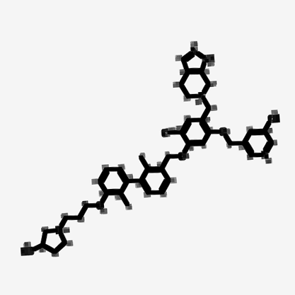 Cc1c(COc2cc(OCc3cncc(C#N)c3)c(CN3CCc4cn[nH]c4C3)cc2Cl)cccc1-c1cccc(OCCCN2CCC(O)C2)c1C